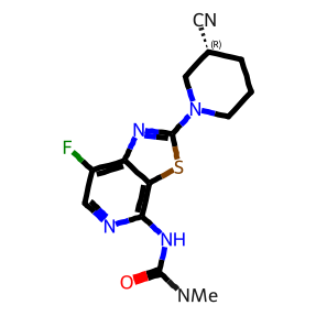 CNC(=O)Nc1ncc(F)c2nc(N3CCC[C@@H](C#N)C3)sc12